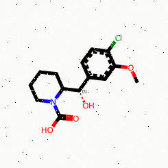 COc1cc([C@H](O)C2CCCCN2C(=O)O)ccc1Cl